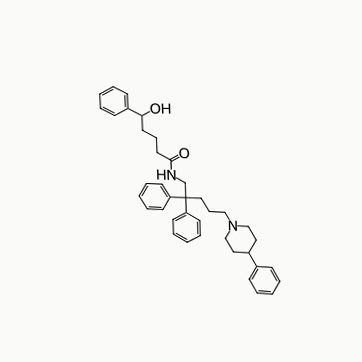 O=C(CCCC(O)c1ccccc1)NCC(CCCN1CCC(c2ccccc2)CC1)(c1ccccc1)c1ccccc1